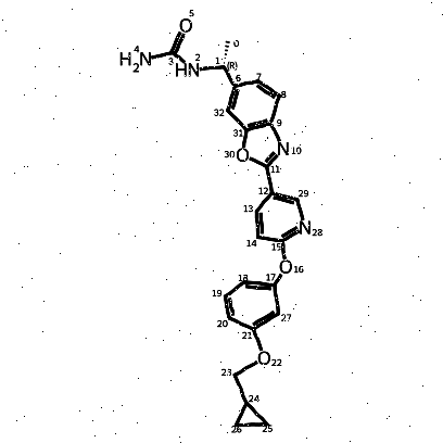 C[C@@H](NC(N)=O)c1ccc2nc(-c3ccc(Oc4cccc(OCC5CC5)c4)nc3)oc2c1